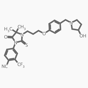 CC1(C)C(=O)N(c2ccc(C#N)c(C(F)(F)F)c2)C(=S)N1CCCOc1ccc(CN2CCC(O)C2)cc1